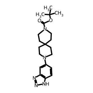 CC(C)(C)OC(=O)N1CCC2(CC1)CCN(c1ccc3[nH]nnc3c1)CC2